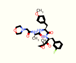 COc1ccc(C[C@H](NC(=O)[C@H](C)NC(=O)CN2CCOCC2)C(=O)N[C@@H](Cc2cccc(F)c2)C(=O)[C@@]2(C)CO2)cc1